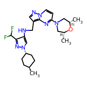 C[C@@H]1CN(c2ccn3ncc(CNc4cn([C@H]5CC[C@H](C)CC5)nc4C(F)F)c3n2)C[C@H](C)O1